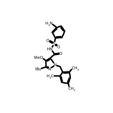 COc1c(C(C)(C)C)nn(Cc2c(C)cc(C)cc2C)c1C(=O)NS(=O)(=O)c1cccc(N)c1